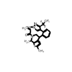 C=CC(=O)N1CC(c2ccccc2-c2cn(CC)nc2C(C)(F)F)c2cc(C)sc2C1C